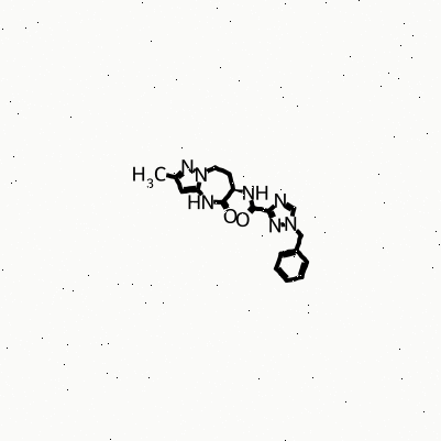 Cc1cc2n(n1)CC[C@@H](NC(=O)c1ncn(Cc3ccccc3)n1)C(=O)N2